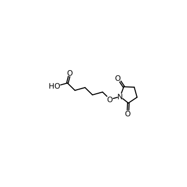 O=C(O)CCCCON1C(=O)CCC1=O